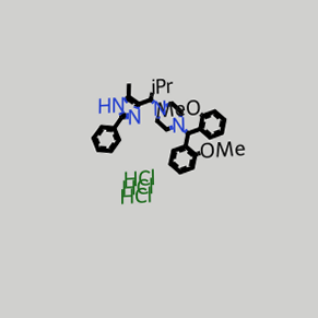 COc1ccccc1C(c1ccccc1OC)N1CCN(C(c2nc(-c3ccccc3)[nH]c2C)C(C)C)CC1.Cl.Cl.Cl